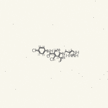 Cc1nn(CC2=CNNN2)c2ncc(C(=O)Nc3ccc(Cl)cc3)c(Cl)c12